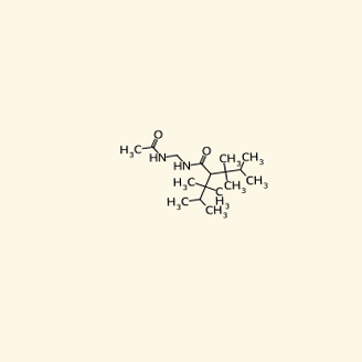 CC(=O)NCNC(=O)C(C(C)(C)C(C)C)C(C)(C)C(C)C